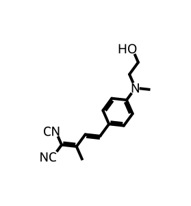 [C-]#[N+]/C(C#N)=C(C)\C=C\c1ccc(N(C)CCO)cc1